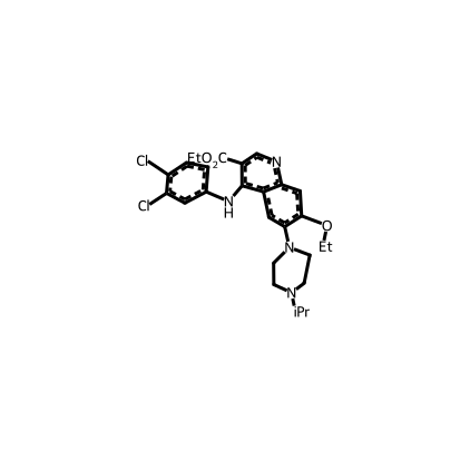 CCOC(=O)c1cnc2cc(OCC)c(N3CCN(C(C)C)CC3)cc2c1Nc1ccc(Cl)c(Cl)c1